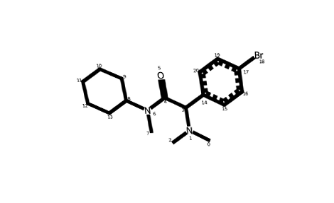 CN(C)C(C(=O)N(C)C1CCCCC1)c1ccc(Br)cc1